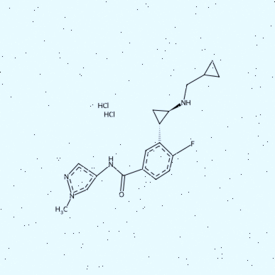 Cl.Cl.Cn1cc(NC(=O)c2ccc(F)c([C@@H]3C[C@H]3NCC3CC3)c2)cn1